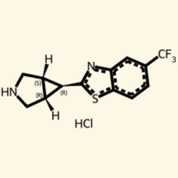 Cl.FC(F)(F)c1ccc2sc([C@H]3[C@@H]4CNC[C@@H]43)nc2c1